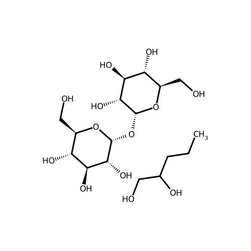 CCCC(O)CO.OC[C@H]1O[C@H](O[C@H]2O[C@H](CO)[C@@H](O)[C@H](O)[C@H]2O)[C@H](O)[C@@H](O)[C@@H]1O